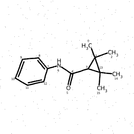 CC1(C)C(C(=O)Nc2ccccc2)C1(C)C